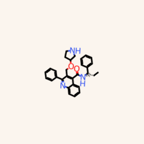 CC[C@H](NC(=O)c1c(COC2CCNC2)c(-c2ccccc2)nc2ccccc12)c1ccccc1